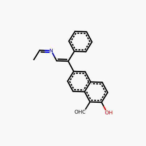 C/C=N\C=C(/c1ccccc1)c1ccc2c(C=O)c(O)ccc2c1